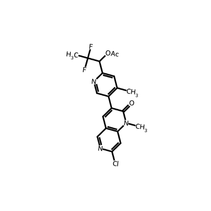 CC(=O)OC(c1cc(C)c(-c2cc3cnc(Cl)cc3n(C)c2=O)cn1)C(C)(F)F